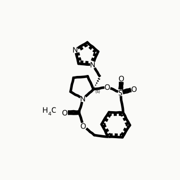 C.O=C1OCc2ccc(cc2)S(=O)(=O)O[C@]2(Cn3ccnc3)CCCN12